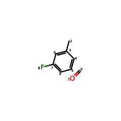 C=O.Cc1cccc(F)c1